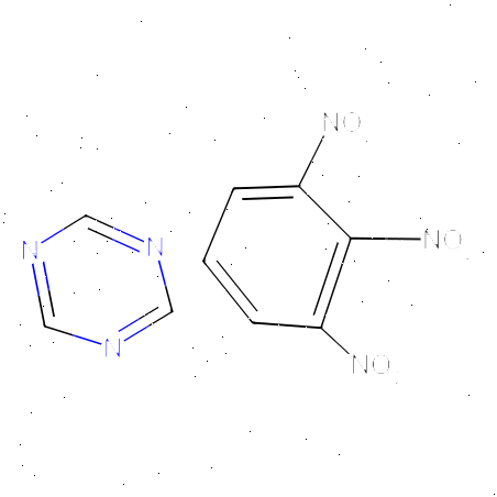 O=[N+]([O-])c1cccc([N+](=O)[O-])c1[N+](=O)[O-].c1ncncn1